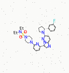 CCN(CC)S(=O)(=O)N1CCN(c2cccc(-c3cnc4ccc(N5CCC[C@@H]5c5cccc(F)c5)nn34)n2)CC1